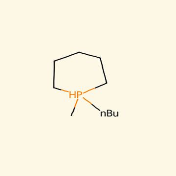 CCCC[PH]1(C)CCCCC1